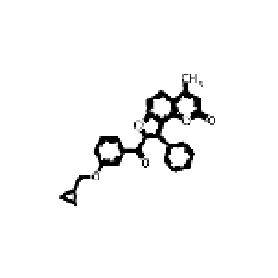 Cc1cc(=O)oc2c1ccc1oc(C(=O)c3cccc(OCC4CC4)c3)c(-c3ccccc3)c12